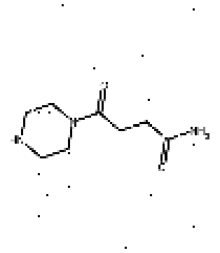 NC(=O)CCC(=O)N1CCNCC1